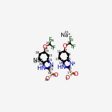 O=S([O-])c1nc2cc(OC(F)F)ccc2[nH]1.O=S([O-])c1nc2cc(OC(F)F)ccc2[nH]1.[Na+].[Na+]